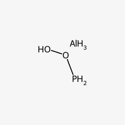 OOP.[AlH3]